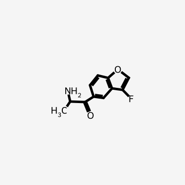 CC(N)C(=O)c1ccc2occ(F)c2c1